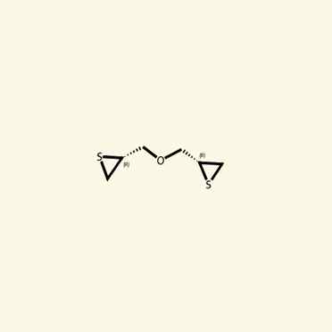 C(OC[C@@H]1CS1)[C@@H]1CS1